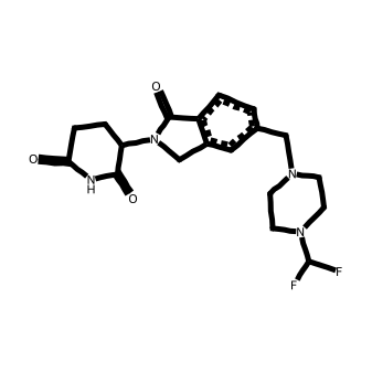 O=C1CCC(N2Cc3cc(CN4CCN(C(F)F)CC4)ccc3C2=O)C(=O)N1